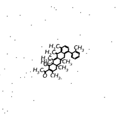 C=C1C2=C(C)[C@@]3(C)C(=O)C(C(C)=O)=C(C)C[C@@]3(C)C[C@@]2(C)Cc2c(-c3ccccc3C)ccc(C)c21